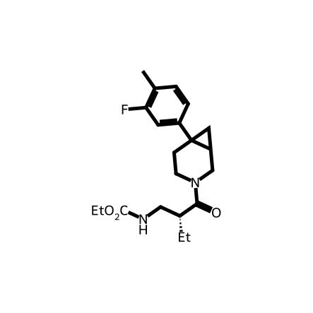 CCOC(=O)NC[C@@H](CC)C(=O)N1CCC2(c3ccc(C)c(F)c3)CC2C1